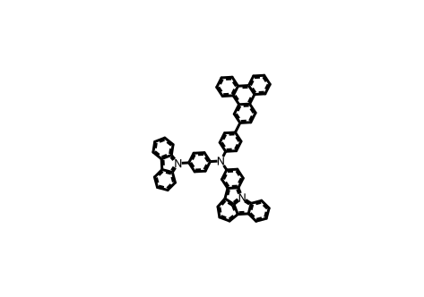 c1ccc2c(c1)c1ccccc1c1cc(-c3ccc(N(c4ccc(-n5c6ccccc6c6ccccc65)cc4)c4ccc5c(c4)c4cccc6c7ccccc7n5c64)cc3)ccc21